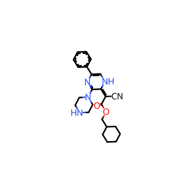 N#C/C(C(=O)OCC1CCCCC1)=C1\NC=C(c2ccccc2)N=C1N1CCNCC1